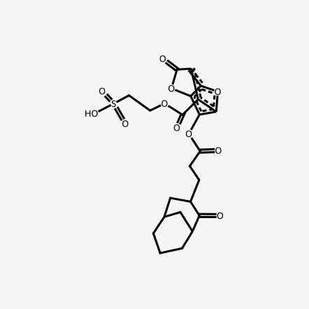 O=C(CCC1CC2CCCC(C2)C1=O)Oc1c2c3oc1c(C(=O)OCCS(=O)(=O)O)c3C(=O)O2